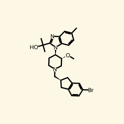 CO[C@@H]1CN(C[C@@H]2Cc3ccc(Br)cc3C2)CC[C@H]1n1c(C(C)(C)O)nc2cc(C)ccc21